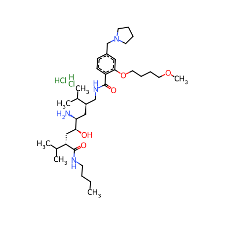 CCCCNC(=O)[C@@H](C[C@H](O)[C@@H](N)C[C@H](CNC(=O)c1ccc(CN2CCCC2)cc1OCCCCOC)C(C)C)C(C)C.Cl.Cl